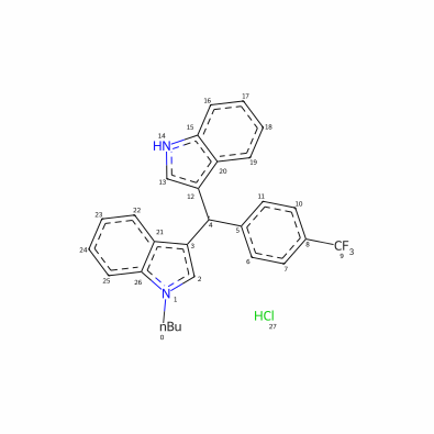 CCCCn1cc([C](c2ccc(C(F)(F)F)cc2)c2c[nH]c3ccccc23)c2ccccc21.Cl